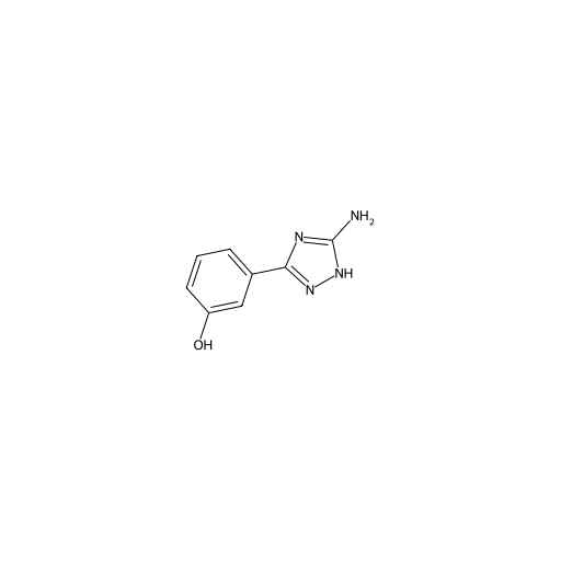 Nc1nc(-c2cccc(O)c2)n[nH]1